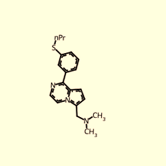 CCCSc1cccc(-c2nccn3c(CN(C)C)ccc23)c1